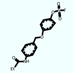 CCC(=O)Nc1ccc(COc2ccc(OS(=O)(=O)F)cc2)cc1